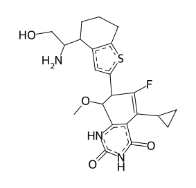 COC1c2[nH]c(=O)[nH]c(=O)c2C(C2CC2)=C(F)C1c1cc2c(s1)CCCC2C(N)CO